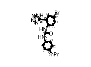 CCCc1ccc(NC(=O)Nc2ccc(Br)cc2-c2nnn[nH]2)cc1